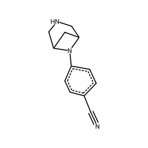 N#Cc1ccc(N2C3CNCC2C3)cc1